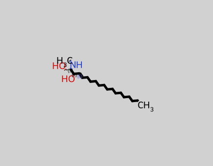 CCCCCCCCCCCCCC/C=C/[C@@H](O)[C@H](CO)NC